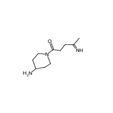 CC(=N)CCC(=O)N1CCC(N)CC1